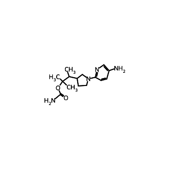 CC(C1CCN(c2ccc(N)cn2)C1)C(C)(C)OC(N)=O